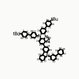 CC(C)(C)c1ccc(-c2ccc(N(c3ccc(-c4ccc(C(C)(C)C)cc4)cc3)c3ccc(-c4ccc5c(c4)c4ccccc4n5-c4cccc(-c5ccccc5)c4)c4nsnc34)cc2)cc1